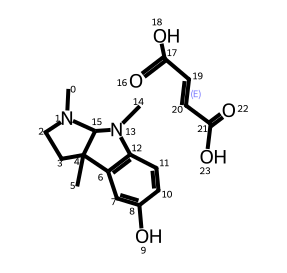 CN1CCC2(C)c3cc(O)ccc3N(C)C12.O=C(O)/C=C/C(=O)O